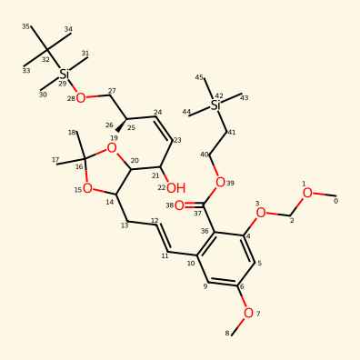 COCOc1cc(OC)cc(/C=C/CC2OC(C)(C)OC2C(O)/C=C\[C@@H](C)CO[Si](C)(C)C(C)(C)C)c1C(=O)OCC[Si](C)(C)C